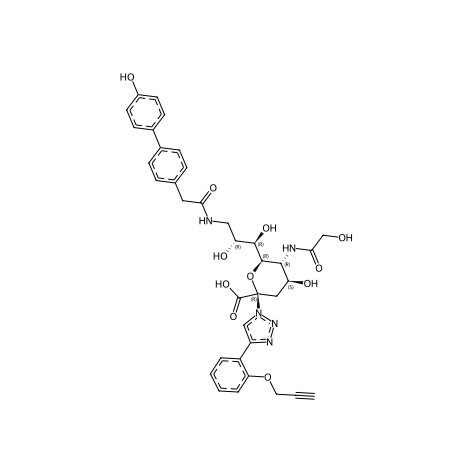 C#CCOc1ccccc1-c1cn([C@]2(C(=O)O)C[C@H](O)[C@@H](NC(=O)CO)[C@H]([C@H](O)[C@H](O)CNC(=O)Cc3ccc(-c4ccc(O)cc4)cc3)O2)nn1